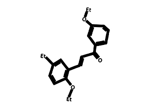 CCOc1cccc(C(=O)C=Cc2cc(CC)ccc2OCC)c1